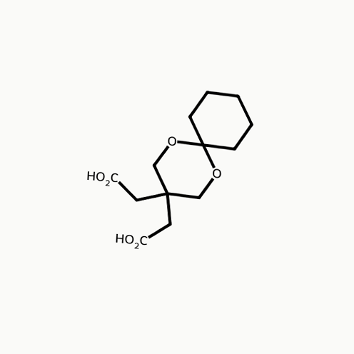 O=C(O)CC1(CC(=O)O)COC2(CCCCC2)OC1